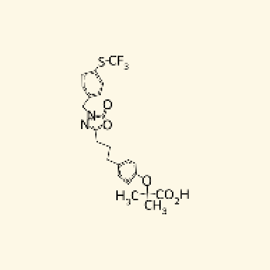 CC(C)(Oc1ccc(CCCc2nn(Cc3ccc(SC(F)(F)F)cc3)c(=O)o2)cc1)C(=O)O